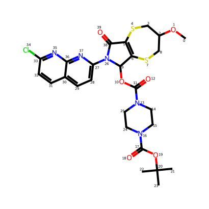 COC1CSC2=C(SC1)C(OC(=O)N1CCN(C(=O)OC(C)(C)C)CC1)N(c1ccc3ccc(Cl)nc3n1)C2=O